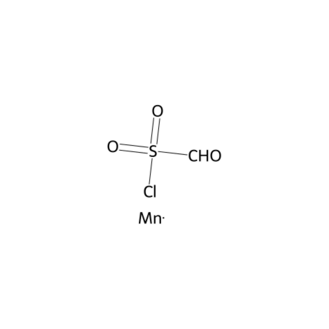 O=CS(=O)(=O)Cl.[Mn]